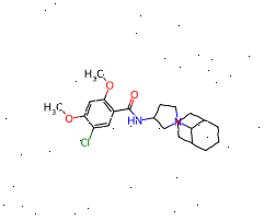 COc1cc(OC)c(C(=O)NC2CCN(C3C4CCCC3CCC4)C2)cc1Cl